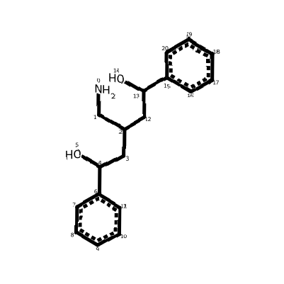 NCC(CC(O)c1ccccc1)CC(O)c1ccccc1